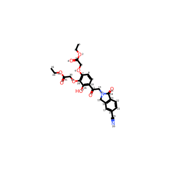 CCOC(=O)COc1ccc(C(=O)CN2Cc3cc(C#N)ccc3C2=O)c(O)c1OCC(=O)OCC